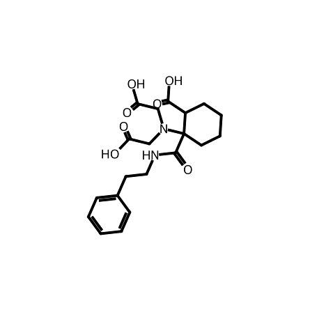 O=C(O)CN(CC(=O)O)C1(C(=O)NCCc2ccccc2)CCCCC1C(=O)O